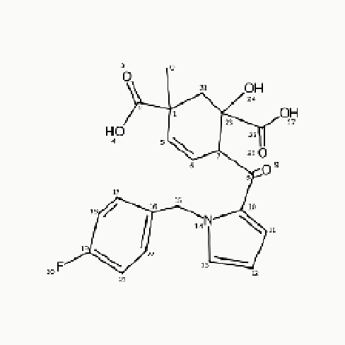 CC1(C(=O)O)C=CC(C(=O)c2cccn2Cc2ccc(F)cc2)C(O)(C(=O)O)C1